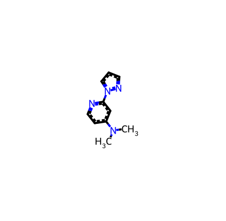 CN(C)c1ccnc(-n2cccn2)c1